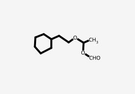 CC(OC=O)OCCC1CCCCC1